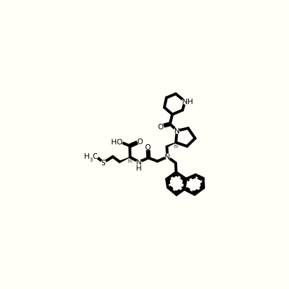 CSCC[C@H](NC(=O)CN(Cc1cccc2ccccc12)C[C@@H]1CCCN1C(=O)C1CCCNC1)C(=O)O